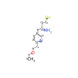 CCOCCc1ccc(CC(N)CCS)cn1